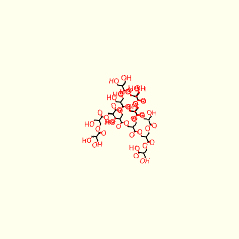 O=C(O)C(CO)COC(=O)C(COC(=O)C(CO)COC(=O)C(CO)COC(=O)C(CO)COC(=O)C(CO)CO)COC(=O)C(COC(=O)C(CO)COC(=O)C(CO)COC(=O)C(CO)COC(=O)C(CO)CO)COC(=O)C(COC(=O)C(CO)CO)COC(=O)C(CO)CO